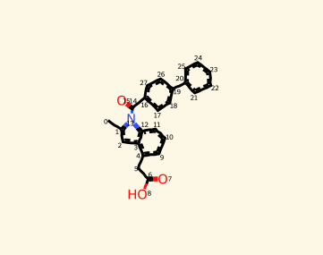 Cc1cc2c(CC(=O)O)cccc2n1C(=O)c1ccc(-c2ccccc2)cc1